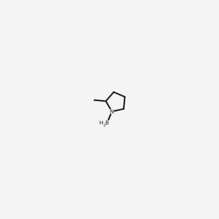 BN1CCCC1C